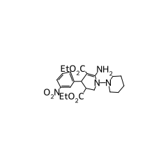 CCOC(=O)C1=C(N)N(N2CCCCC2)CC(C(=O)OCC)C1c1cccc([N+](=O)[O-])c1